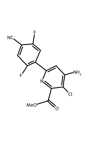 COC(=O)c1nc(-c2cc(F)c(C#N)cc2F)cc(N)c1Cl